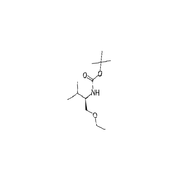 CCOC[C@H](NC(=O)OC(C)(C)C)C(C)C